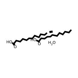 C=C.CCCCCCCCCCCC(=O)O.CCCCCCCCCCCC(=O)O.O